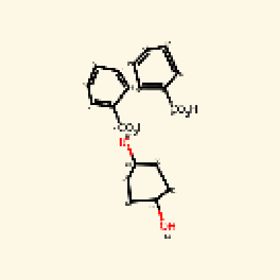 O=C(O)c1ccccc1.O=C(O)c1ccccc1.OC1CCC(O)CC1